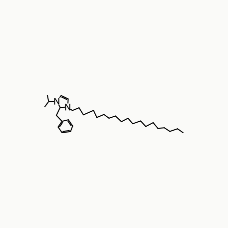 CCCCCCCCCCCCCCCCCCCN1C=CN(C(C)C)C1Cc1ccccc1